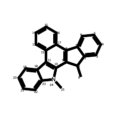 CC1c2ccccc2-c2c1c1c(c3ccccc23)c2ccccc2n1C